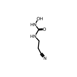 N#CCCNC(=O)NO